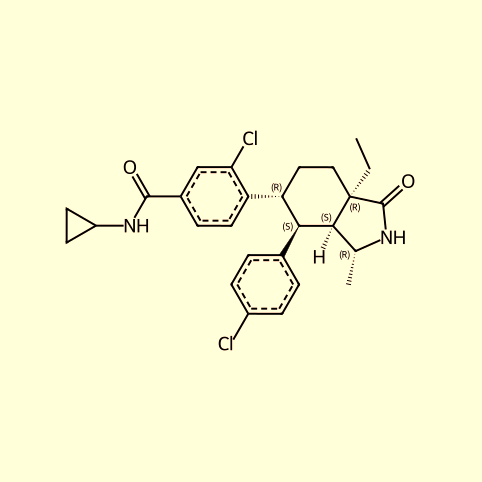 CC[C@@]12CC[C@@H](c3ccc(C(=O)NC4CC4)cc3Cl)[C@H](c3ccc(Cl)cc3)[C@@H]1[C@@H](C)NC2=O